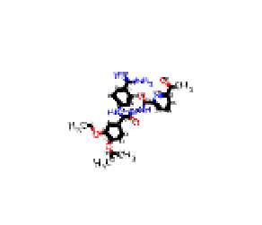 CCOc1cc(C(Nc2ccc(C(=N)N)cc2)C(=O)NNC(=O)c2cccc(C(C)=O)n2)ccc1OC(C)C